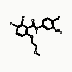 COCCOc1ccc(F)c(F)c1C(=O)N(C)c1ccc(F)c(N)c1